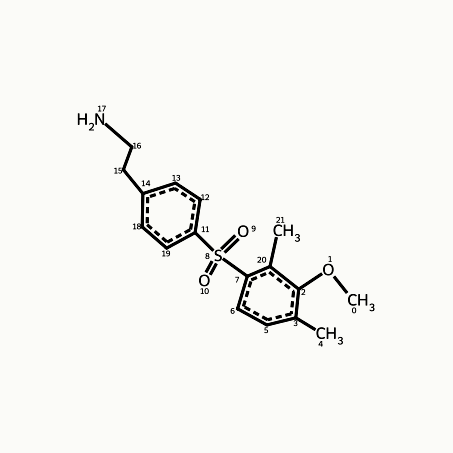 COc1c(C)ccc(S(=O)(=O)c2ccc(CCN)cc2)c1C